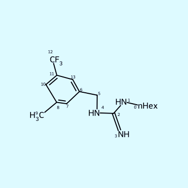 CCCCCCNC(=N)NCc1cc(C)cc(C(F)(F)F)c1